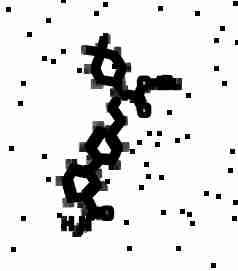 CC1(C)CCC(N(CCc2ccc(-c3cccc(C(N)=O)c3)cc2)C(=O)OC(C)(C)C)CC1